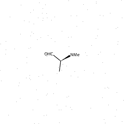 CN[C@@H](C)C=O